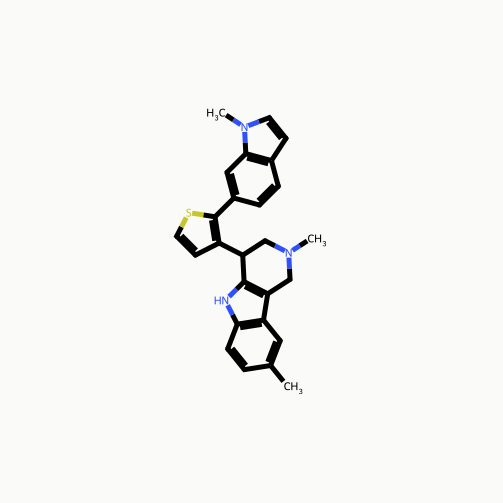 Cc1ccc2[nH]c3c(c2c1)CN(C)CC3c1ccsc1-c1ccc2ccn(C)c2c1